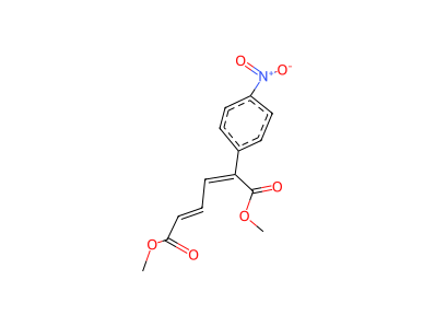 COC(=O)C=CC=C(C(=O)OC)c1ccc([N+](=O)[O-])cc1